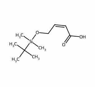 CC(C)(C)[Si](C)(C)OC/C=C\C(=O)O